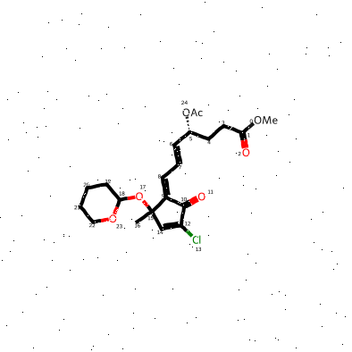 COC(=O)CC[C@H](C=CC=C1C(=O)C(Cl)=CC1(C)OC1CCCCO1)OC(C)=O